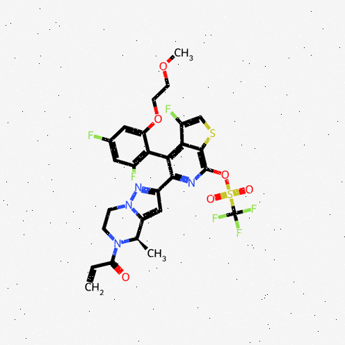 C=CC(=O)N1CCn2nc(-c3nc(OS(=O)(=O)C(F)(F)F)c4scc(F)c4c3-c3c(F)cc(F)cc3OCCOC)cc2[C@H]1C